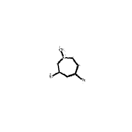 CCC1CC(C(C)C)CCN(C)C1